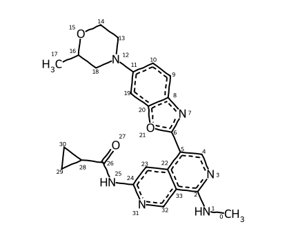 CNc1ncc(-c2nc3ccc(N4CCOC(C)C4)cc3o2)c2cc(NC(=O)C3CC3)ncc12